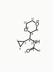 CC(=O)NC(C1CC1)C1COCCO1